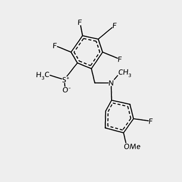 COc1ccc(N(C)Cc2c(F)c(F)c(F)c(F)c2[S+](C)[O-])cc1F